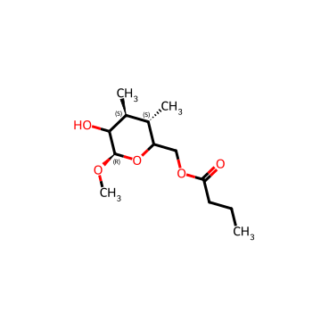 CCCC(=O)OCC1O[C@@H](OC)C(O)[C@@H](C)[C@@H]1C